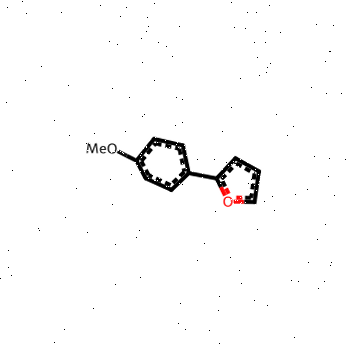 COc1ccc(-c2ccco2)cc1